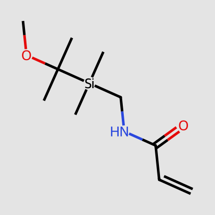 C=CC(=O)NC[Si](C)(C)C(C)(C)OC